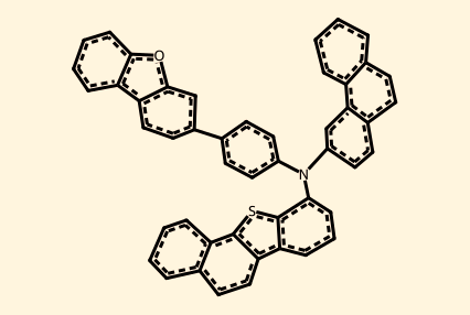 c1ccc2c(c1)ccc1ccc(N(c3ccc(-c4ccc5c(c4)oc4ccccc45)cc3)c3cccc4c3sc3c5ccccc5ccc43)cc12